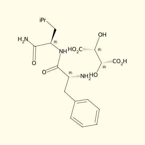 CC(C)C[C@@H](NC(=O)[C@H](N)Cc1ccccc1)C(N)=O.O=C(O)[C@H](O)[C@@H](O)C(=O)O